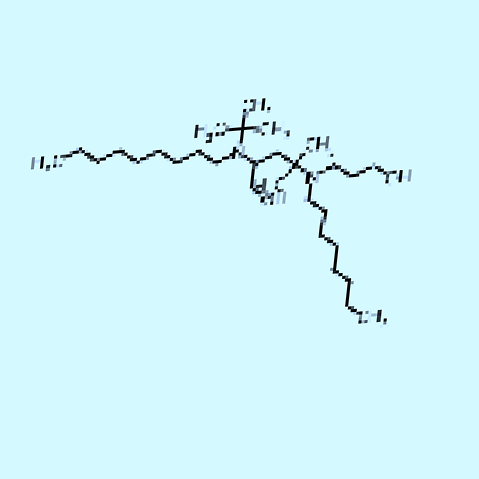 CCCCCCCCCN(C(CO)CC(C)(C)N(CCCO)CCCCCCCC)C(C)(C)C